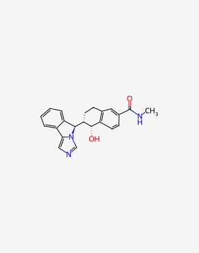 CNC(=O)c1ccc2c(c1)CC[C@@H]([C@@H]1c3ccccc3-c3cncn31)[C@H]2O